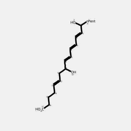 CCCCCC(O)/C=C/C=C/C=C/C(O)C/C=C/CCCC(=O)O